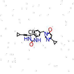 O=C1Nc2cc(Cn3cnc(C4CC4)cc3=O)ccc2[C@@](C#CC2CC2)(C(F)(F)F)N1